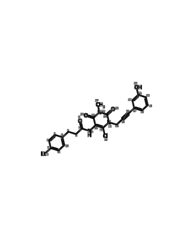 CCc1ccc(CCC(=O)Nc2c(Cl)n(CC#Cc3cccc(O)c3)c(=O)n(C)c2=O)cc1